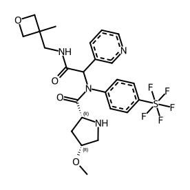 CO[C@H]1CN[C@@H](C(=O)N(c2ccc(S(F)(F)(F)(F)F)cc2)C(C(=O)NCC2(C)COC2)c2cccnc2)C1